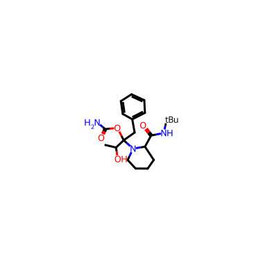 CC(O)C(Cc1ccccc1)(OC(N)=O)N1CCCCC1C(=O)NC(C)(C)C